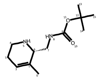 CC1=CCCN[C@@H]1CNC(=O)OC(C)(C)C